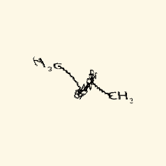 CCCCCCCCCCCCCCc1cc(Br)sc1C1=NC2SC(c3sc(Br)cc3CCCCCCCCCCCCCC)=NC2S1